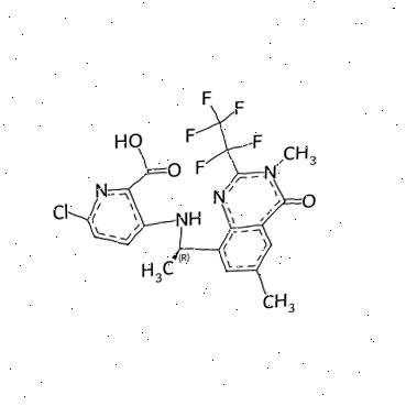 Cc1cc([C@@H](C)Nc2ccc(Cl)nc2C(=O)O)c2nc(C(F)(F)C(F)(F)F)n(C)c(=O)c2c1